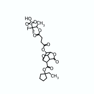 CCC1(OC(=O)C2C3OC4C(OC(=O)C42)C3OC(=O)CCC(=O)OC(C)C(F)(F)S(=O)(=O)O)CCCC1